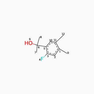 Cc1cc(F)c(C(C)(C)O)cc1C